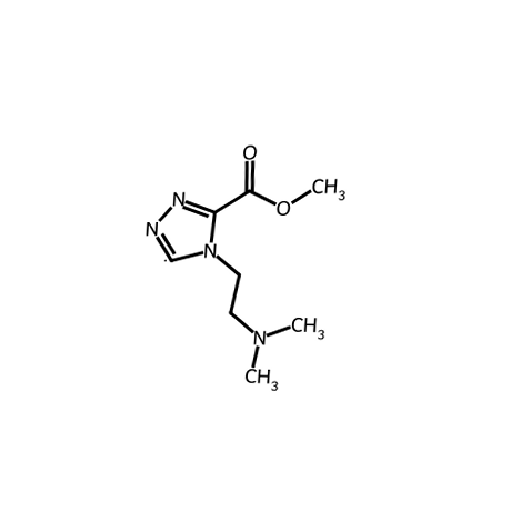 COC(=O)c1nn[c]n1CCN(C)C